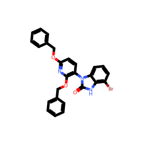 O=c1[nH]c2c(Br)cccc2n1-c1ccc(OCc2ccccc2)nc1OCc1ccccc1